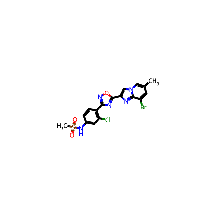 Cc1cc(Br)c2nc(-c3nc(-c4ccc(NS(C)(=O)=O)cc4Cl)no3)cn2c1